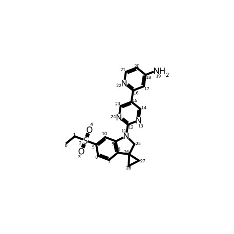 CCS(=O)(=O)c1ccc2c(c1)N(c1ncc(-c3cc(N)ccn3)cn1)CC21CC1